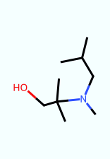 CC(C)CN(C)C(C)(C)CO